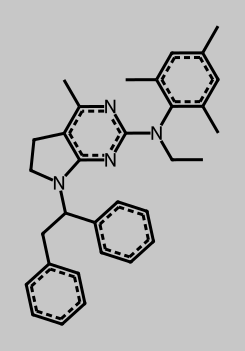 CCN(c1nc(C)c2c(n1)N(C(Cc1ccccc1)c1ccccc1)CC2)c1c(C)cc(C)cc1C